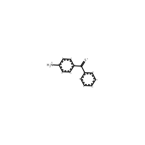 Nc1ccc(C(=S)c2ccccc2)cc1